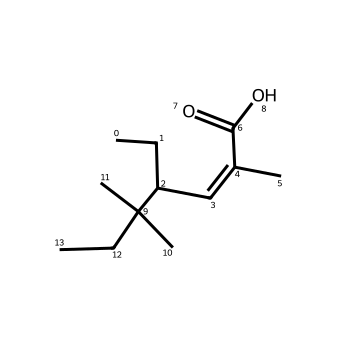 CCC(C=C(C)C(=O)O)C(C)(C)CC